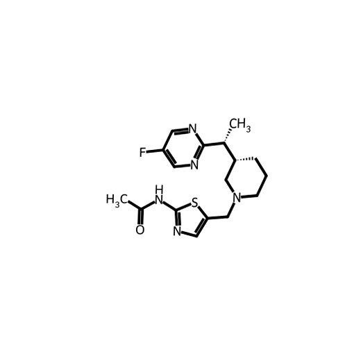 CC(=O)Nc1ncc(CN2CCC[C@@H]([C@@H](C)c3ncc(F)cn3)C2)s1